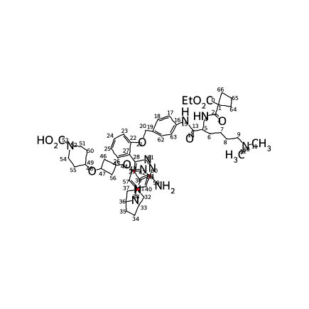 CCOC(=O)C1(C(=O)NC(CCCCN(C)C)C(=O)Nc2ccc(COc3ccccc3-c3cc(N4CC5CCC(C4)N5c4ccnc(OC5CC(OC6CCN(C(=O)O)CC6)C5)c4)c(N)nn3)cc2)CCC1